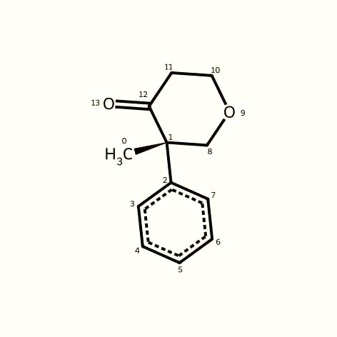 C[C@]1(c2ccccc2)COCCC1=O